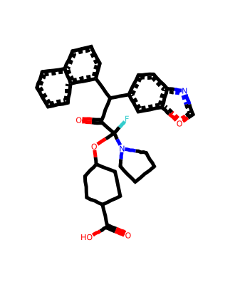 O=C(O)C1CCC(OC(F)(C(=O)C(c2ccc3ncoc3c2)c2cccc3ccccc23)N2CCCC2)CC1